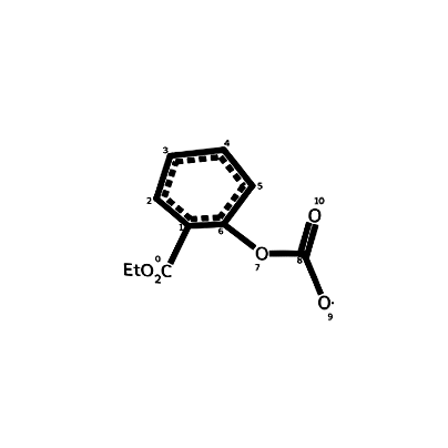 CCOC(=O)c1ccccc1OC([O])=O